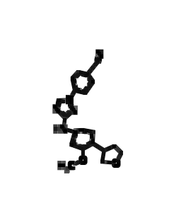 COc1cc(Nc2ncn(-c3ccc(C#N)cc3)n2)ccc1C1CCOC1